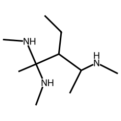 CCC(C(C)NC)C(C)(NC)NC